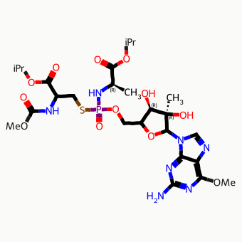 COC(=O)NC(CSP(=O)(N[C@H](C)C(=O)OC(C)C)OCC1OC(n2cnc3c(OC)nc(N)nc32)[C@](C)(O)[C@@H]1O)C(=O)OC(C)C